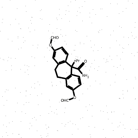 CCCC1(C(N)=O)c2ccc(OC=O)cc2CCc2cc(OC=O)ccc21